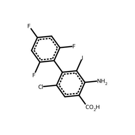 Nc1c(C(=O)O)cc(Cl)c(-c2c(F)cc(F)cc2F)c1I